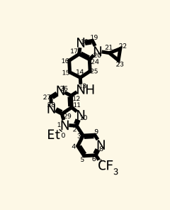 CCn1c(-c2ccc(C(F)(F)F)nc2)nc2c(NC3CCc4ncn(C5CC5)c4C3)ncnc21